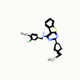 COc1ccc(CNc2nc(C3CCC(=CC(=O)O)CC3)nc3sc4ccccc4c23)cc1Cl